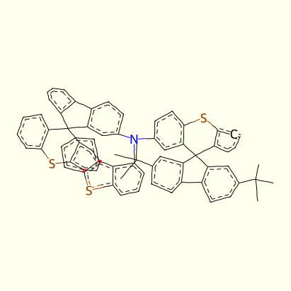 CC(C)(C)c1ccc2c(c1)C1(c3ccccc3Sc3ccc(N(c4ccc5c(c4)C4(c6ccccc6Sc6ccccc64)c4ccccc4-5)c4cccc5sc6ccccc6c45)cc31)c1cc(C(C)(C)C)ccc1-2